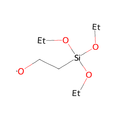 CCO[Si](CC[O])(OCC)OCC